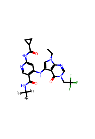 [2H]C([2H])([2H])NC(=O)c1cnc(NC(=O)C2CC2)cc1Nc1cn(CC)c2ncn(CC(F)(F)F)c(=O)c12